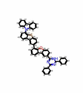 c1ccc(C2=NC(c3ccccc3)NC(c3ccc4oc5c(-c6ccc7sc8c(-n9c%10ccccc%10c%10ccccc%109)cccc8c7c6)cccc5c4c3)=N2)cc1